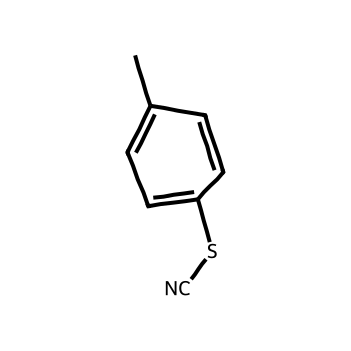 Cc1ccc(SC#N)cc1